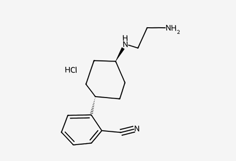 Cl.N#Cc1ccccc1[C@H]1CC[C@H](NCCN)CC1